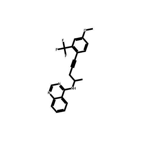 COc1ccc(C#CCC(C)Nc2ncnc3ccccc23)c(C(F)(F)F)c1